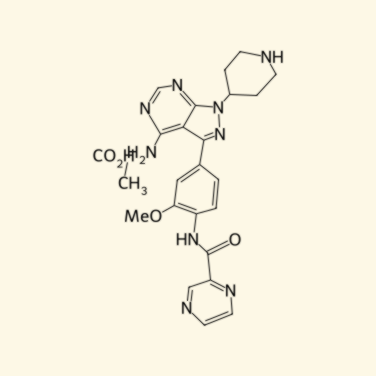 CC(=O)O.COc1cc(-c2nn(C3CCNCC3)c3ncnc(N)c23)ccc1NC(=O)c1cnccn1